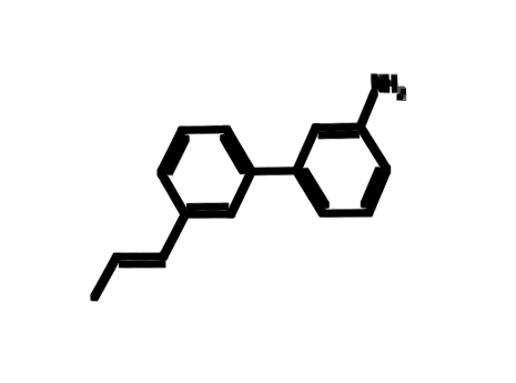 CC=Cc1cccc(-c2cccc(N)c2)c1